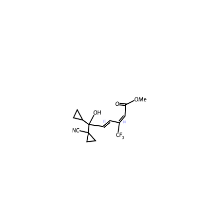 COC(=O)/C=C(\C=C\C(O)(C1CC1)C1(C#N)CC1)C(F)(F)F